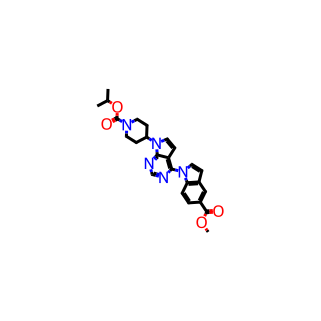 COC(=O)c1ccc2c(ccn2-c2ncnc3c2ccn3C2CCN(C(=O)OC(C)C)CC2)c1